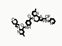 Cc1cnc(N2CC3(CCOCC3)C2)c(C(=O)Nc2ccc(C(=O)N3CCc4cc(C(=O)Nc5ncccc5F)sc4-c4nc(C)ccc43)cc2)c1